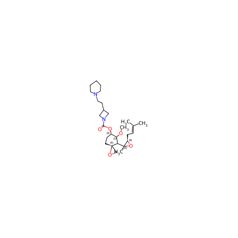 CO[C@H]1C([C@@]2(C)O[C@@H]2CC=C(C)C)[C@]2(CC[C@H]1OC(=O)N1CC(CCN3CCCCC3)C1)CO2